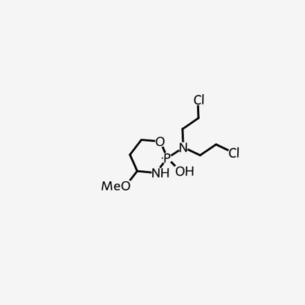 COC1CCO[P](O)(N(CCCl)CCCl)N1